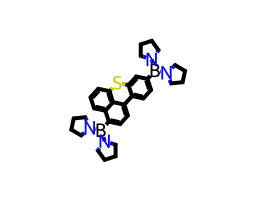 c1cc2c3c(ccc(B(N4CCCC4)N4CCCC4)c3c1)-c1ccc(B(N3CCCC3)N3CCCC3)cc1S2